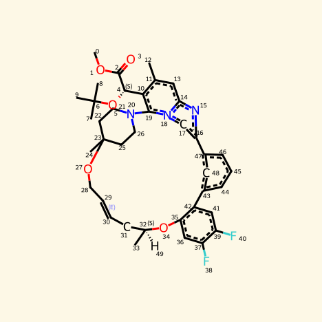 COC(=O)[C@@H](OC(C)(C)C)c1c(C)cc2nc3cn2c1N1CCC(C)(CC1)OC/C=C/C[C@H](C)Oc1cc(F)c(F)cc1-c1cccc-3c1